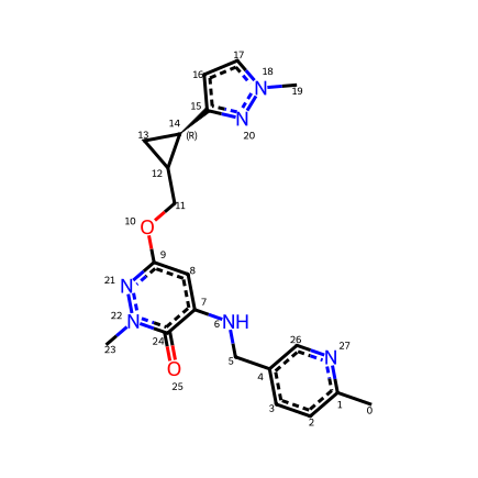 Cc1ccc(CNc2cc(OCC3C[C@H]3c3ccn(C)n3)nn(C)c2=O)cn1